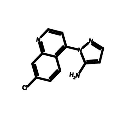 Nc1ccnn1-c1ccnc2cc(Cl)ccc12